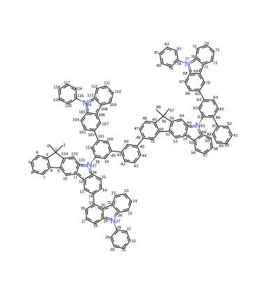 CC1(C)c2ccccc2-c2cc3c4cc(-c5cccc6c5c5ccccc5n6-c5ccccc5)ccc4n(-c4cc(-c5cccc(-c6ccc7c(c6)-c6cc8c9ccccc9n(-c9cc(-c%10ccc%11c(c%10)c%10ccccc%10n%11-c%10ccccc%10)ccc9-c9ccccc9)c8cc6C7(C)C)c5)cc(-c5ccc6c(c5)c5ccccc5n6-c5ccccc5)c4)c3cc21